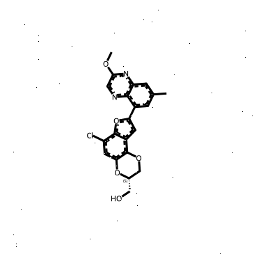 COc1cnc2c(-c3cc4c5c(cc(Cl)c4o3)O[C@@H](CO)CO5)cc(C)cc2n1